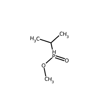 CO[PH](=O)C(C)C